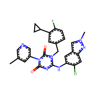 Cc1cncc(-n2c(=O)nc(Nc3cc4cn(C)nc4cc3Cl)n(Cc3ccc(F)c(C4CC4)c3)c2=O)c1